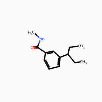 CCC(CC)c1cccc(C(=O)NC)c1